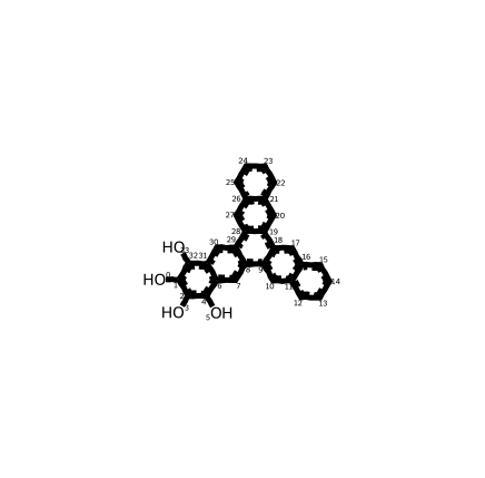 Oc1c(O)c(O)c2cc3c4cc5ccccc5cc4c4cc5ccccc5cc4c3cc2c1O